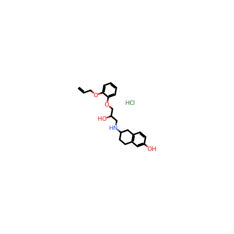 C=CCOc1ccccc1OCC(O)CNC1CCc2cc(O)ccc2C1.Cl